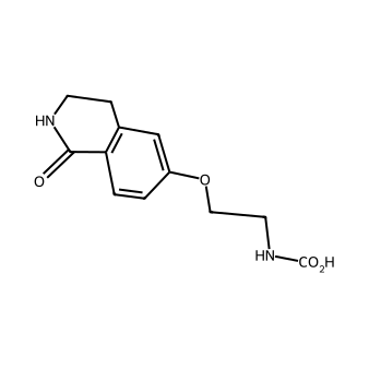 O=C(O)NCCOc1ccc2c(c1)CCNC2=O